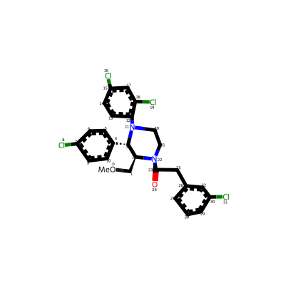 COC[C@H]1[C@H](c2ccc(Cl)cc2)N(c2ccc(Cl)cc2Cl)CCN1C(=O)Cc1cccc(Cl)c1